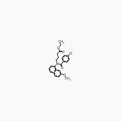 CCOC(=O)CCCN(C(=O)c1ccc(Cl)cc1)c1cccc2ccc(OC)cc12